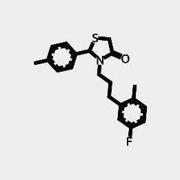 Cc1ccc(C2SCC(=O)N2CCCc2cc(F)ccc2C)cc1